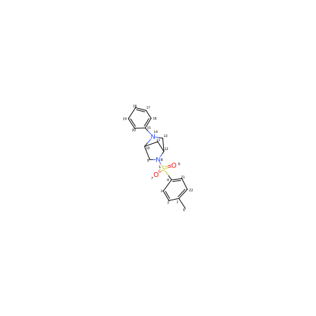 Cc1ccc(S(=O)(=O)N2CC3CC2CN3c2ccccc2)cc1